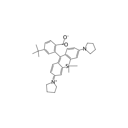 CC(C)(C)c1ccc(C(=O)[O-])c(C2=C3C=CC(=[N+]4CCCC4)C=C3[Si](C)(C)c3cc(N4CCCC4)ccc32)c1